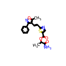 Cc1onc(-c2ccccc2)c1C=Cc1ncc(C(=O)OC(C)C(N)=O)s1